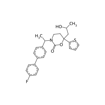 CC(O)CC1(c2cccs2)CCN(C(C)c2ccc(-c3ccc(F)cc3)cc2)C(=O)O1